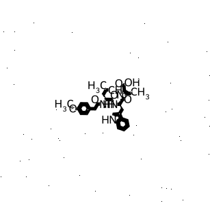 COc1ccc(CC(=O)N[C@@H](CC(C)C)C(=O)N[C@H](Cc2c[nH]c3ccccc23)c2nc(C(=O)O)c(C)o2)cc1